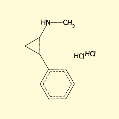 CNC1CC1c1ccccc1.Cl.Cl